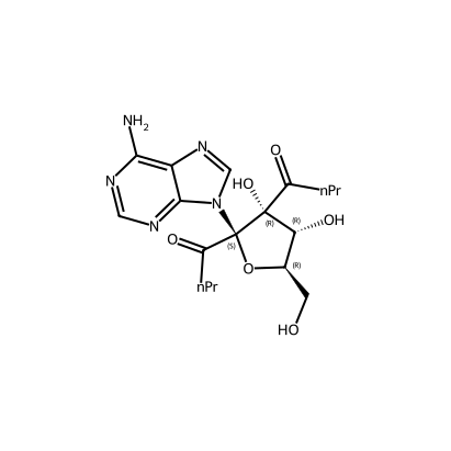 CCCC(=O)[C@@]1(O)[C@H](O)[C@@H](CO)O[C@@]1(C(=O)CCC)n1cnc2c(N)ncnc21